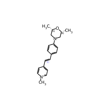 C[C@@H]1CN(c2ccc(/C=C/c3cc[n+](C)cc3)cc2)C[C@H](C)O1